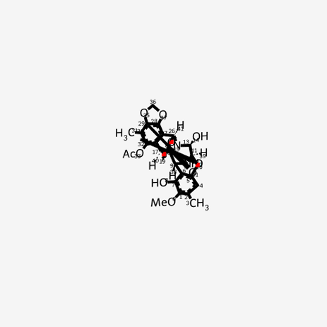 COc1c(C)cc2c(c1O)[C@H]1N[C@H](C2)[C@H](O)N2C1[C@@H]1SCC(=O)C(=O)OC[C@H]2c2c3c(c(C)c(OC(C)=O)c21)OCO3